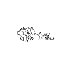 COc1ncc(-c2sc(NC(C)(C)C)nc2C)cc1S(=O)(=O)Nc1ccccc1Cl